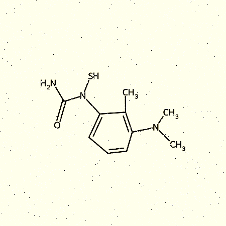 Cc1c(N(C)C)cccc1N(S)C(N)=O